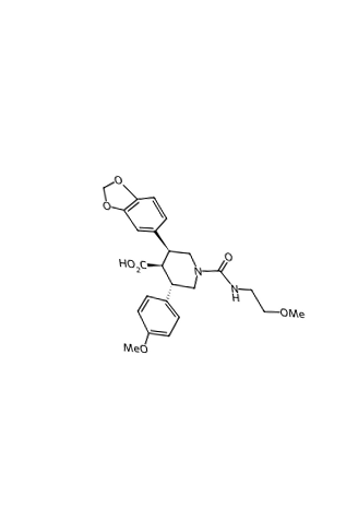 COCCNC(=O)N1C[C@H](c2ccc(OC)cc2)[C@@H](C(=O)O)[C@@H](c2ccc3c(c2)OCO3)C1